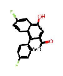 COC(=O)c1cc(O)c2cc(F)ccc2c1-c1ccc(F)cc1